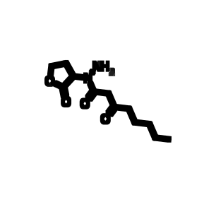 CCCCCC(=O)CC(=O)N(N)C1CCOC1=O